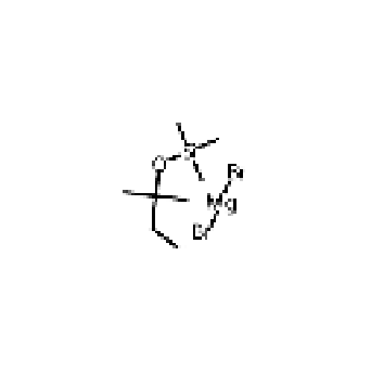 [Br][Mg][Br].[CH2]CC(C)(C)O[Si](C)(C)C